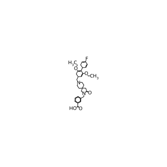 CCOC1=CC(CN2CCC3(CC2)CC(=O)N(Cc2cccc(C(=O)O)c2)C3)CC(OCC)=C1C1C=CC(F)=CC1